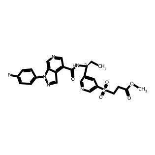 CC[C@H](NC(=O)c1cncc2c1cnn2-c1ccc(F)cc1)c1cncc(S(=O)(=O)CCC(=O)OC)c1